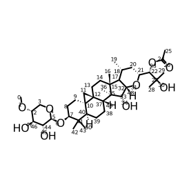 CO[C@@H]1CO[C@@H](O[C@H]2CC[C@]34C[C@]35CC[C@]3(C)C6[C@H](C)C[C@H]([C@H](OC(C)=O)C(C)(C)O)O[C@@H]6[C@H](O)[C@@]3(C)[C@@H]5CC[C@H]4C2(C)C)[C@H](O)[C@H]1O